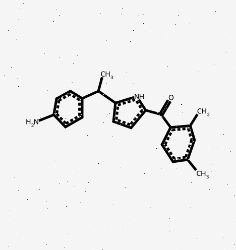 Cc1ccc(C(=O)c2ccc(C(C)c3ccc(N)cc3)[nH]2)c(C)c1